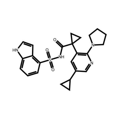 O=C(NS(=O)(=O)c1cccc2[nH]ccc12)C1(c2cc(C3CC3)cnc2N2CCCC2)CC1